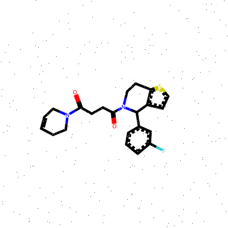 O=C(CCC(=O)N1CCc2sccc2C1c1cccc(F)c1)N1CC=CCC1